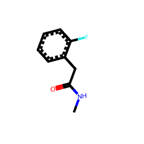 CNC(=O)Cc1ccccc1F